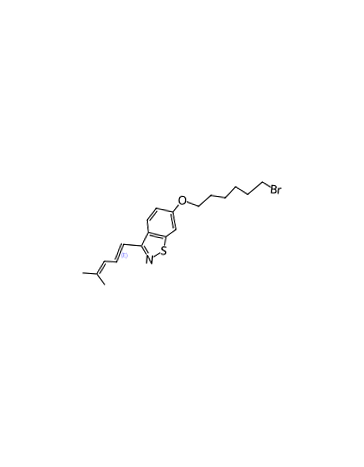 CC(C)=C/C=C/c1nsc2cc(OCCCCCCBr)ccc12